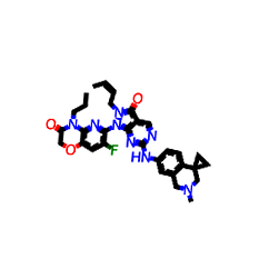 C/C=C\Cn1c(=O)c2cnc(Nc3ccc4c(c3)CN(C)CC43CC3)nc2n1-c1nc2c(cc1F)OCC(=O)N2CCC